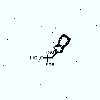 CCCCC(Cc1cc2ccccc2s1)(OC)C(=O)O